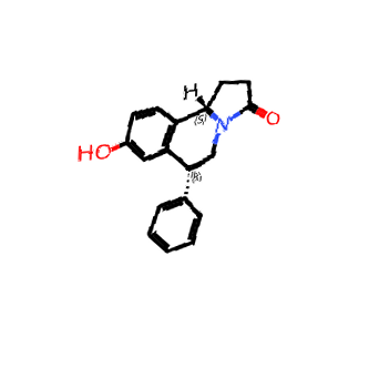 O=C1CC[C@H]2c3ccc(O)cc3[C@@H](c3ccccc3)CN12